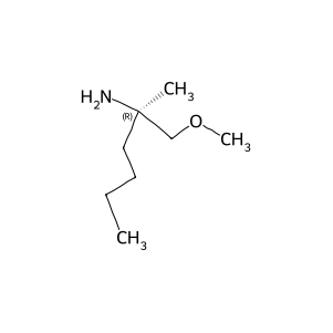 CCCC[C@@](C)(N)COC